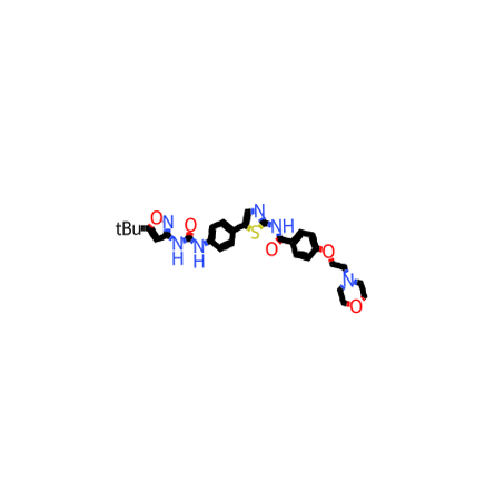 CC(C)(C)c1cc(NC(=O)Nc2ccc(-c3cnc(NC(=O)c4ccc(OCCN5CCOCC5)cc4)s3)cc2)no1